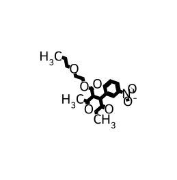 CCCOCCOC(=O)C(C(C)=O)C(C(=O)CC)c1cccc([N+](=O)[O-])c1